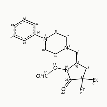 CCC1(CC)C[C@H](CN2CCN(c3ccccc3)CC2)N(OC=O)C1=O